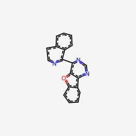 c1ccc2c(-c3ncnc4c3oc3ccccc34)nccc2c1